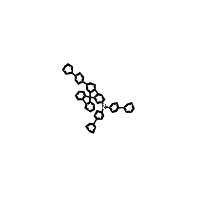 c1ccc(-c2ccc(-c3ccc4c(c3)C3(c5ccccc5-c5ccccc53)c3cc(N(c5ccc(-c6ccccc6)cc5)c5ccc(-c6ccccc6)cc5)ccc3-4)cc2)cc1